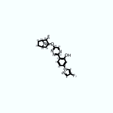 Oc1cc(-n2cc(F)cn2)ccc1-c1ncc(O[C@H]2CC3CCC(N3)[C@H]2F)nn1